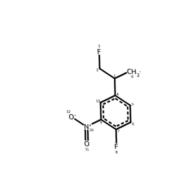 [CH2]C(CF)c1ccc(F)c([N+](=O)[O-])c1